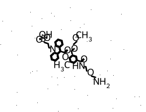 COCCOCc1cc(C(=O)NCCOCCN)cc(C)c1OC(=O)c1c2ccccc2[n+](CCCS(=O)(=O)O)c2ccccc12